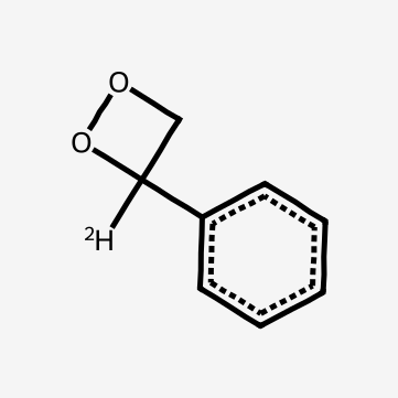 [2H]C1(c2ccccc2)COO1